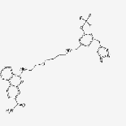 NC(=O)c1ccc2c(c1)nc(NCCOCCCCNCc1cc(Cc3cn[nH]c3)cc(OC(F)(F)F)c1)c1ccncc12